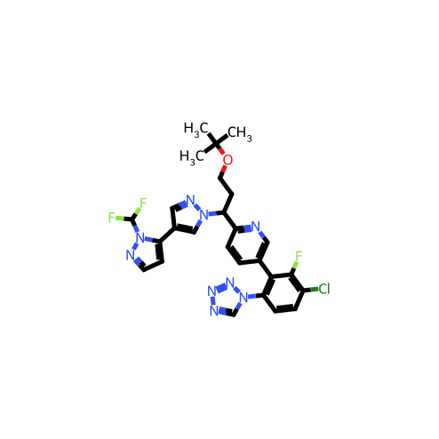 CC(C)(C)OCCC(c1ccc(-c2c(-n3cnnn3)ccc(Cl)c2F)cn1)n1cc(-c2ccnn2C(F)F)cn1